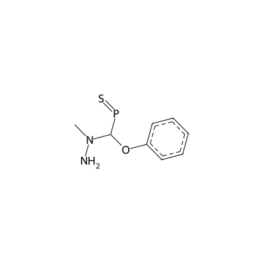 CN(N)C(Oc1ccccc1)P=S